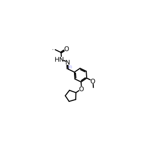 [CH2]C(=O)N/N=C/c1ccc(OC)c(OC2CCCC2)c1